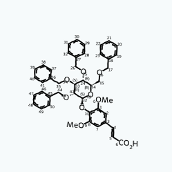 COc1cc(C=CC(=O)O)cc(OC)c1O[C@@H]1O[C@H](COCc2ccccc2)[C@@H](OCc2ccccc2)[C@H](OCc2ccccc2)[C@H]1OCc1ccccc1